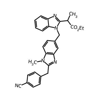 CCOC(=O)C(C)c1nc2ccccc2n1Cc1ccc2c(c1)nc(Cc1ccc(C#N)cc1)n2C